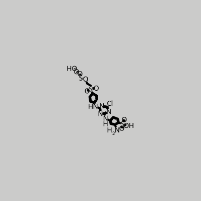 Nc1cc(Nc2nc(Cl)nc(Nc3ccc(S(=O)(=O)CCOSOOO)cc3)n2)ccc1S(=O)(=O)O